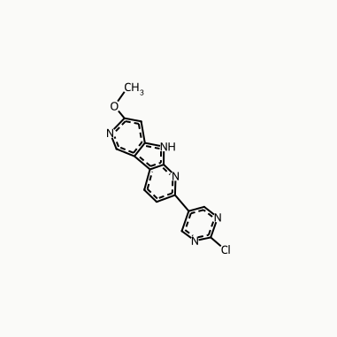 COc1cc2[nH]c3nc(-c4cnc(Cl)nc4)ccc3c2cn1